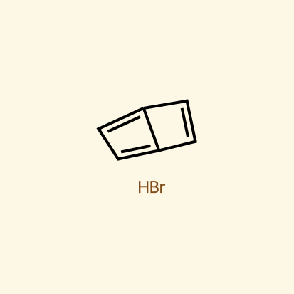 Br.c1cc2ccc1-2